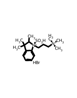 Br.CC1C(C)(C)c2ccccc2[N+]1(CCC[N+](C)(C)C)S(=O)(=O)O